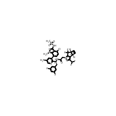 Cn1nc(NS(C)(=O)=O)c2c(Cl)ccc(-c3cc(N)cnc3[C@H](Cc3cc(F)cc(F)c3)NC(=O)Cn3nc(C(F)F)c4c3C(F)(F)[C@@H]3C#C[C@H]43)c21